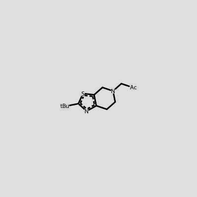 CC(=O)CN1CCc2nc(C(C)(C)C)sc2C1